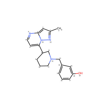 Cc1cc2nccc(C3CCCN(Cc4cccc(O)c4)C3)n2n1